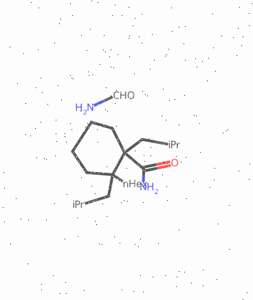 CCCCCCC1(CC(C)C)CCCCC1(CC(C)C)C(N)=O.NC=O